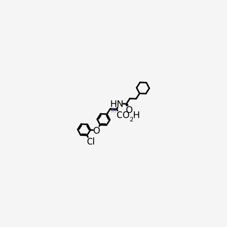 O=C(CCC1CCCCC1)N/C(=C/c1ccc(Oc2ccccc2Cl)cc1)C(=O)O